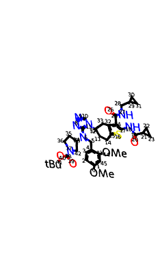 COc1ccc(CN(c2nncn2[C@H]2CCc3sc(NC(=O)C4CC4)c(C(=O)NCC4CC4)c3C2)[C@H]2CCN(C(=O)OC(C)(C)C)C2)c(OC)c1